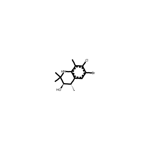 Cc1c(Cl)c(Br)cc2c1NC(C)(C)[C@H](O)[C@H]2C